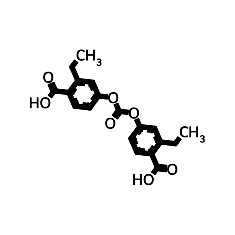 CCc1cc(OC(=O)Oc2ccc(C(=O)O)c(CC)c2)ccc1C(=O)O